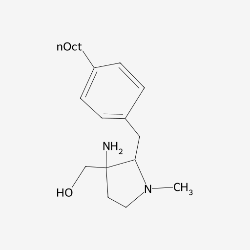 CCCCCCCCc1ccc(CC2N(C)CCC2(N)CO)cc1